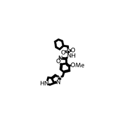 COc1cc(Cn2cc3c(n2)CNC3)cc2onc(NS(=O)(=O)CC3CCCCC3)c12